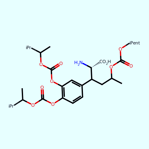 CCCC(C)OC(=O)OC(C)CC(c1ccc(OC(=O)OC(C)C(C)C)c(OC(=O)OC(C)C(C)C)c1)[C@H](N)C(=O)O